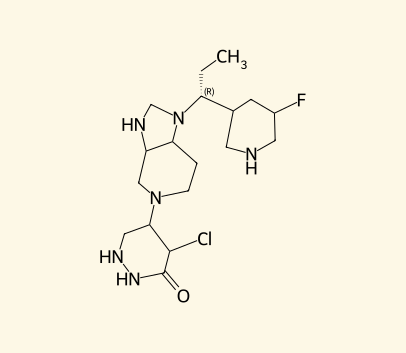 CC[C@H](C1CNCC(F)C1)N1CNC2CN(C3CNNC(=O)C3Cl)CCC21